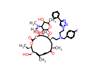 CC[C@H]1OC(=O)C[C@@H](O)[C@H](C)[C@@H](O[C@@H]2O[C@H](C)C(O)C(N(C)C)C2O)[C@@H](CCN(CCn2cc(-c3ccccc3)nn2)Cc2ccc(I)cc2)C[C@@H](C)C(=O)/C=C/C(C)=C/[C@@H]1CO